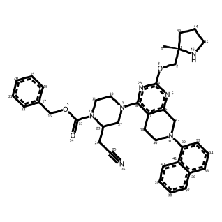 C[C@@]1(COc2nc3c(c(N4CCN(C(=O)OCc5ccccc5)C(CC#N)C4)n2)CCN(c2cccc4ccccc24)C3)CCCN1